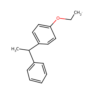 [CH2]COc1ccc(C(C)c2ccccc2)cc1